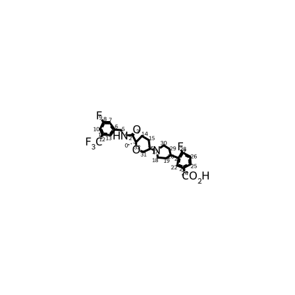 C[C@]1(C(=O)NCc2cc(F)cc(C(F)(F)F)c2)CC[C@@H](N2CCC(c3cc(C(=O)O)ccc3F)CC2)CO1